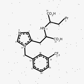 CC(C)CC(NC(Cc1cncn1Cc1cccc(C(F)(F)F)c1)C(=O)O)C(=O)O